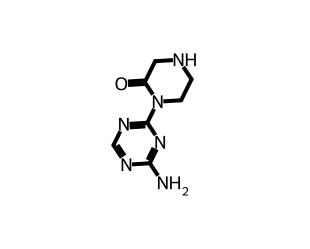 Nc1ncnc(N2CCNCC2=O)n1